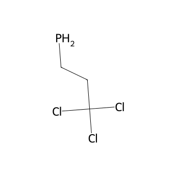 PCCC(Cl)(Cl)Cl